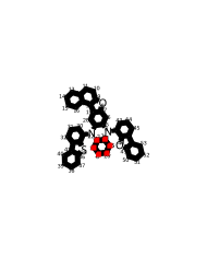 c1ccc(N(c2cc3oc4ccc5ccccc5c4c3cc2N(c2ccccc2)c2cccc3c2sc2ccccc23)c2cccc3c2oc2ccccc23)cc1